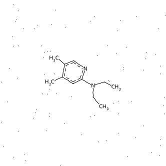 CCN(CC)c1cc(C)c(C)cn1